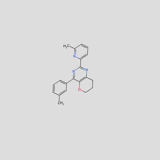 Cc1cccc(-c2nc(-c3cccc(C)n3)nc3c2OCCC3)c1